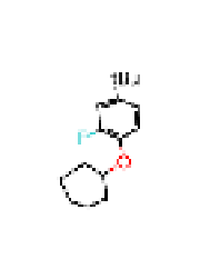 CC(C)(C)c1ccc(OC2CCCCC2)c(F)c1